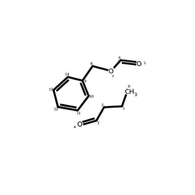 CCCC=O.O=[C]OCc1ccccc1